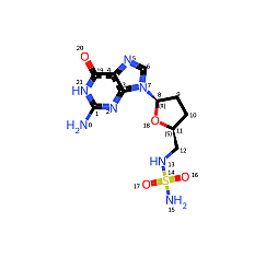 Nc1nc2c(ncn2[C@H]2CC[C@@H](CNS(N)(=O)=O)O2)c(=O)[nH]1